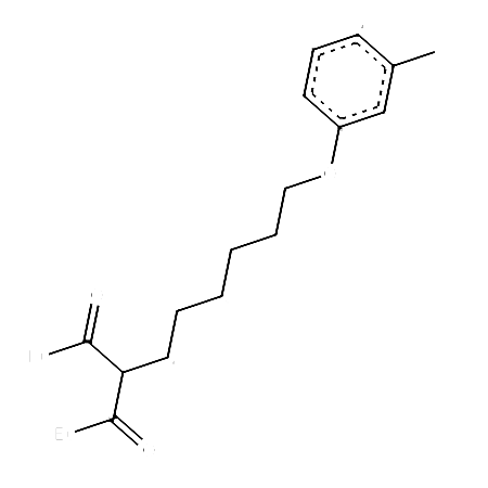 CCC(=O)C(CCCCCCOc1cccc(I)c1)C(=O)CC